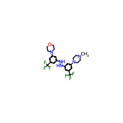 CN1CCN(c2cc(NNc3cc(N4CCOCC4)cc(C(F)(F)F)c3)cc(C(F)(F)F)c2)CC1